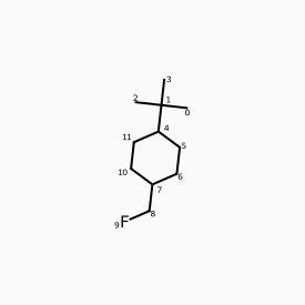 CC(C)(C)C1CCC(CF)CC1